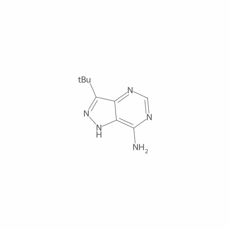 CC(C)(C)c1n[nH]c2c(N)ncnc12